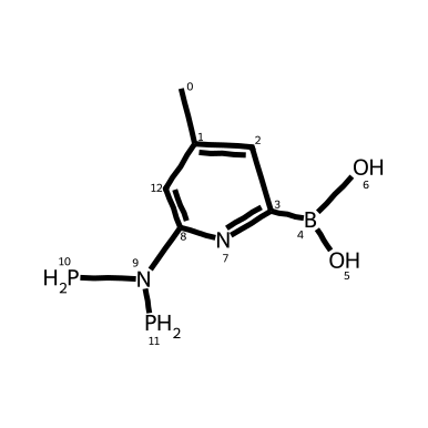 Cc1cc(B(O)O)nc(N(P)P)c1